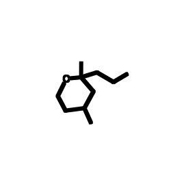 CCCC1(C)CC(C)CCO1